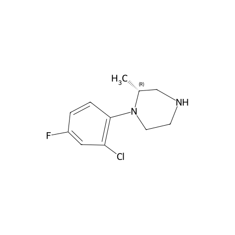 C[C@@H]1CNCCN1c1ccc(F)cc1Cl